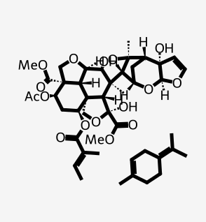 C/C=C(\C)C(=O)O[C@H]1C[C@@H](OC(C)=O)[C@@]2(C(=O)OC)CO[C@H]3[C@@H](O)[C@@](C)([C@]45O[C@@]4(C)[C@H]4C[C@@H]5O[C@@H]5OC=C[C@@]54O)[C@H]4[C@]1(CO[C@]4(O)C(=O)OC)[C@@H]32.CC1=CCC(=C(C)C)CC1